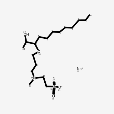 CCCCCCCCCC(OCCCN(C)CCS(=O)(=O)[O-])C(C)O.[Na+]